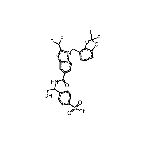 CCS(=O)(=O)c1ccc(C(CO)NC(=O)c2ccc3c(c2)nc(C(F)F)n3Cc2cccc3c2OC(F)(F)O3)cc1